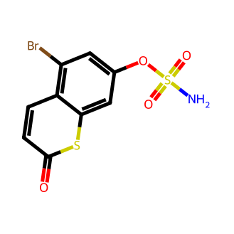 NS(=O)(=O)Oc1cc(Br)c2ccc(=O)sc2c1